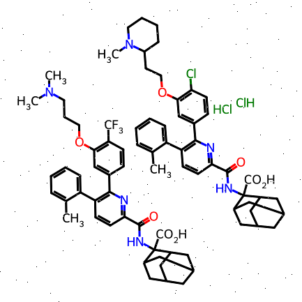 Cc1ccccc1-c1ccc(C(=O)NC2(C(=O)O)C3CC4CC(C3)CC2C4)nc1-c1ccc(C(F)(F)F)c(OCCCN(C)C)c1.Cc1ccccc1-c1ccc(C(=O)NC2(C(=O)O)C3CC4CC(C3)CC2C4)nc1-c1ccc(Cl)c(OCCC2CCCCN2C)c1.Cl.Cl